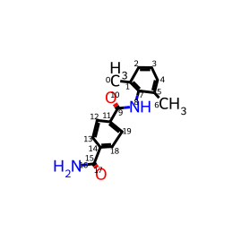 Cc1cccc(C)c1NC(=O)c1ccc(C(N)=O)cc1